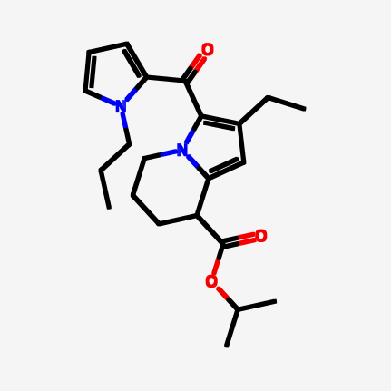 CCCn1cccc1C(=O)c1c(CC)cc2n1CCCC2C(=O)OC(C)C